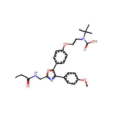 CCC(=O)NCc1nc(-c2ccc(OC)cc2)c(-c2ccc(OCCN(C(=O)O)C(C)(C)C)cc2)o1